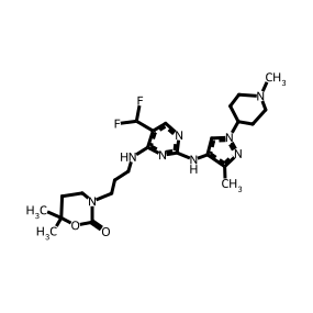 Cc1nn(C2CCN(C)CC2)cc1Nc1ncc(C(F)F)c(NCCCN2CCC(C)(C)OC2=O)n1